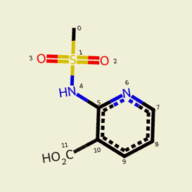 CS(=O)(=O)Nc1ncccc1C(=O)O